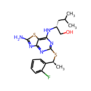 CC(C)C[C@H](CO)Nc1nc(S[C@@H](C)c2ccccc2F)nc2nc(N)sc12